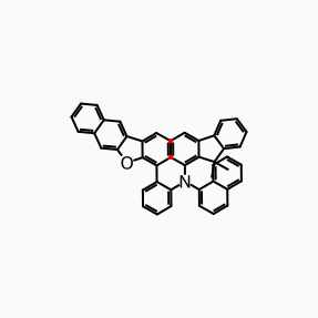 CC1(C)c2ccccc2-c2cccc(N(c3ccccc3-c3cccc4c3oc3cc5ccccc5cc34)c3cccc4ccccc34)c21